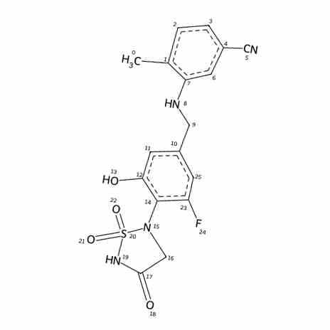 Cc1ccc(C#N)cc1NCc1cc(O)c(N2CC(=O)NS2(=O)=O)c(F)c1